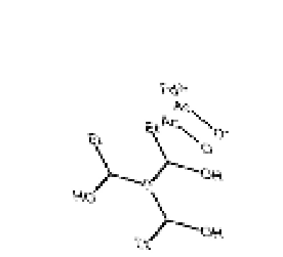 CC(=O)[O-].CC(=O)[O-].CCC(O)P(C(O)CC)C(O)CC.[Pd+2]